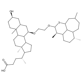 CC1CCC2C3C(C1)SC(OCCO[C@@H]1CC4C[C@H](O)CCC4(C)C4CC[C@@]5(C)C(CCC5[C@H](C)CCC(=O)O)C41)[C@H](C)C3CC[C@H]2C